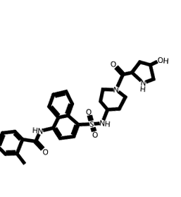 Cc1ccccc1C(=O)Nc1ccc(S(=O)(=O)NC2CCN(C(=O)C3CC(O)CN3)CC2)c2ccccc12